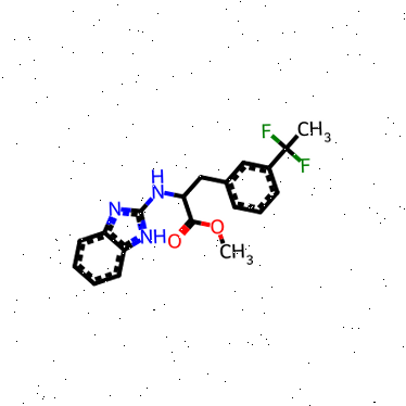 COC(=O)C(Cc1cccc(C(C)(F)F)c1)Nc1nc2ccccc2[nH]1